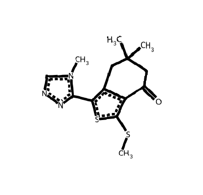 CSc1sc(-c2nncn2C)c2c1C(=O)CC(C)(C)C2